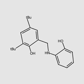 CC(C)(C)c1cc(CNc2ccccc2O)c(O)c(C(C)(C)C)c1